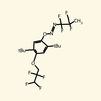 CC(C)(C)c1cc(ON=NC(F)(F)C(C)(F)F)c(C(C)(C)C)cc1OCC(F)(F)C(F)F